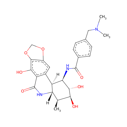 C[C@@H]1[C@H](O)[C@@H](O)[C@H](NC(=O)c2ccc(CN(C)C)cc2)[C@@H]2c3cc4c(c(O)c3C(=O)N[C@@H]12)OCO4